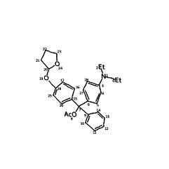 CCN(CC)c1ccc(C(OC(C)=O)(c2ccccc2)c2ccc(OC3CCCO3)cc2)cc1